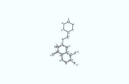 O=c1[nH]c(CSC2CCOCC2)nc2c(F)c(F)ccc12